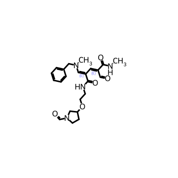 CNC(=O)/C(C=O)=C/C(=C\N(C)Cc1ccccc1)C(=O)NCCOC1CCN(C=O)C1